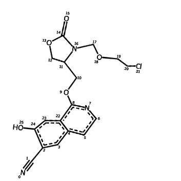 N#Cc1cc2ccnc(OCC3COC(=O)N3COCCCl)c2cc1O